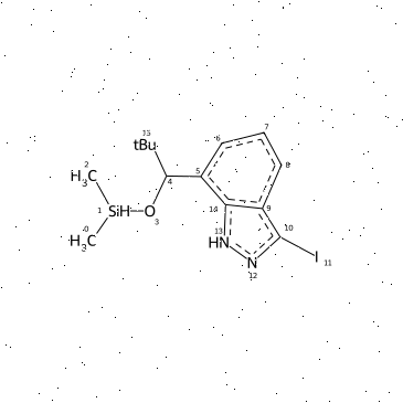 C[SiH](C)OC(c1cccc2c(I)n[nH]c12)C(C)(C)C